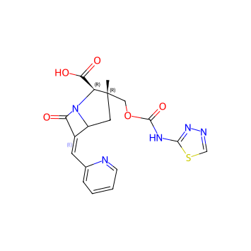 C[C@@]1(COC(=O)Nc2nncs2)CC2/C(=C\c3ccccn3)C(=O)N2[C@H]1C(=O)O